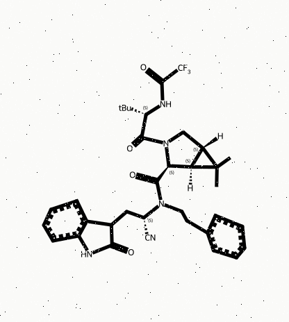 CC(C)(C)[C@H](NC(=O)C(F)(F)F)C(=O)N1C[C@H]2[C@H]([C@H]1C(=O)N(CCc1ccccc1)[C@H](C#N)CC1C(=O)Nc3ccccc31)C2(C)C